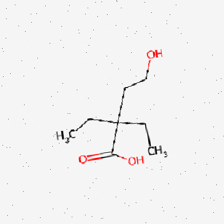 CCC(CC)(CCO)C(=O)O